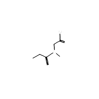 [CH2]CC(=O)N(C)CC(N)=O